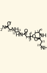 CC(COC(C)(C)CC(=O)NCCNCC(N)=O)NC(=O)CCN